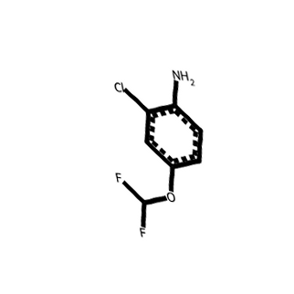 Nc1ccc(OC(F)F)cc1Cl